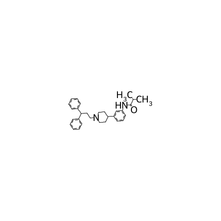 CC(C)C(=O)Nc1cccc(C2CCN(CCC(c3ccccc3)c3ccccc3)CC2)c1